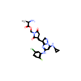 CC(N)C(=O)OCN1C(=O)C/C(=C\c2cnn3c(NC4CC4)cc(Nc4cc(Cl)ccc4F)nc23)C1=O